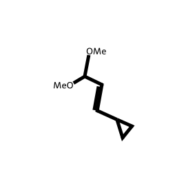 COC(C=CC1CC1)OC